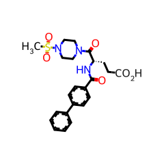 CS(=O)(=O)N1CCN(C(=O)[C@H](CCC(=O)O)NC(=O)c2ccc(-c3ccccc3)cc2)CC1